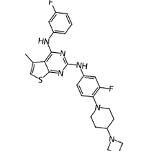 Cc1csc2nc(Nc3ccc(N4CCC(N5CCC5)CC4)c(F)c3)nc(Nc3cccc(F)c3)c12